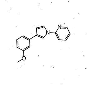 COc1cccc(-c2ccn(-c3ccccn3)c2)c1